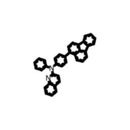 c1ccc(N(c2ccc(-c3ccc4c5c(cccc35)-c3ccccc3-4)cc2)c2ccc3ccccc3n2)cc1